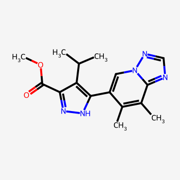 COC(=O)c1n[nH]c(-c2cn3ncnc3c(C)c2C)c1C(C)C